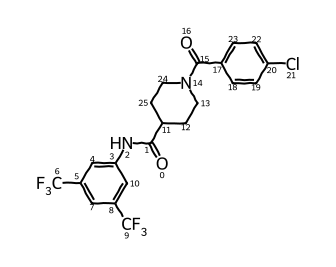 O=C(Nc1cc(C(F)(F)F)cc(C(F)(F)F)c1)C1CCN(C(=O)c2ccc(Cl)cc2)CC1